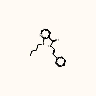 CCCCOc1ncccc1C(=O)NC=Cc1ccccc1